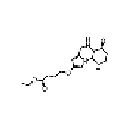 CCOC(=O)CCCOc1cc2n(c1)C1NCCC(=O)C1NC2